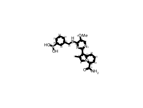 COc1cnc(-c2c(C)cn3c(C(N)=O)cccc23)nc1NCc1cccc(B(O)O)c1